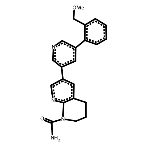 COCc1ccccc1-c1cncc(-c2cnc3c(c2)CCCN3C(N)=O)c1